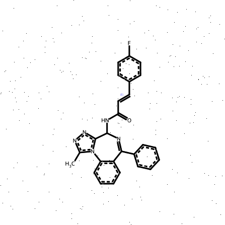 Cc1nnc2n1-c1ccccc1C(c1ccccc1)=NC2NC(=O)/C=C/c1ccc(F)cc1